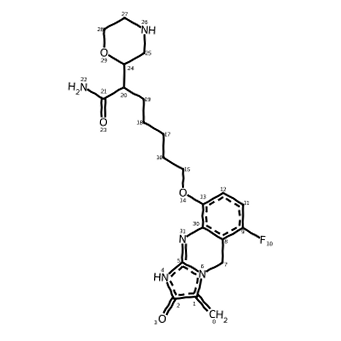 C=c1c(=O)[nH]c2n1Cc1c(F)ccc(OCCCCCC(C(N)=O)C3CNCCO3)c1N=2